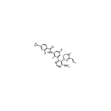 CC=CC(=O)N(C)[C@@H](C)COc1c(N)ncnc1-c1cc(F)cc(NC(=O)c2ccc(C3CC3)cc2F)c1C